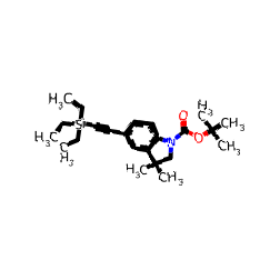 CC[Si](C#Cc1ccc2c(c1)C(C)(C)CN2C(=O)OC(C)(C)C)(CC)CC